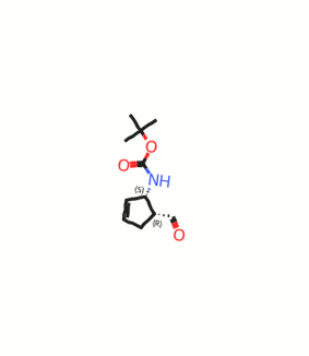 CC(C)(C)OC(=O)N[C@H]1C=CC[C@H]1C=O